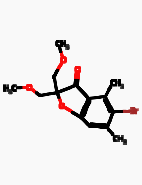 COCC1(COC)Oc2cc(C)c(Br)c(C)c2C1=O